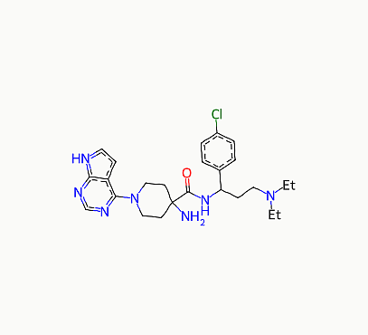 CCN(CC)CCC(NC(=O)C1(N)CCN(c2ncnc3[nH]ccc23)CC1)c1ccc(Cl)cc1